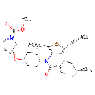 CC(C)(C)C#Cc1cc(N(C(=O)[C@H]2CC[C@H](C)CC2)[C@H]2CC[C@H](O[C@H]3CCN(C(=O)OC(C)(C)C)C3)CC2)c(C(=O)O)s1